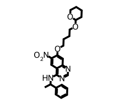 CC(Nc1ncnc2cc(OCCCCOC3CCCCO3)c([N+](=O)[O-])cc12)c1ccccc1